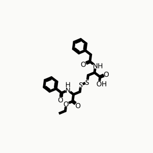 CCOC(=O)C(CSSCC(NC(=O)Cc1ccccc1)C(=O)O)NC(=O)c1ccccc1